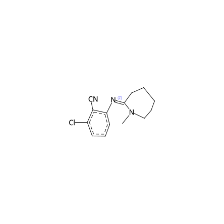 CN1CCCCC/C1=N/c1cccc(Cl)c1C#N